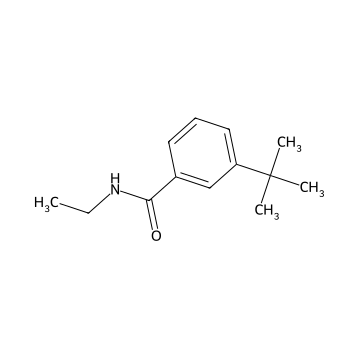 CCNC(=O)c1cccc(C(C)(C)C)c1